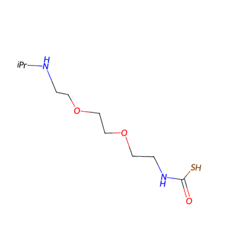 CC(C)NCCOCCOCCNC(=O)S